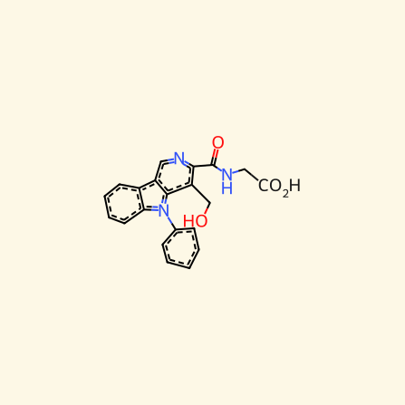 O=C(O)CNC(=O)c1ncc2c3ccccc3n(-c3ccccc3)c2c1CO